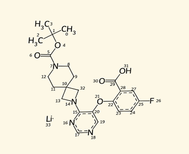 CC(C)(C)OC(=O)N1CCC2(CC1)CN(c1ncncc1Oc1ccc(F)cc1C(=O)O)C2.[Li]